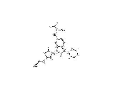 CC(C)C(=O)Nc1ccc2c(-c3ccccc3)nn(-c3nc(OC=O)cs3)c2c1